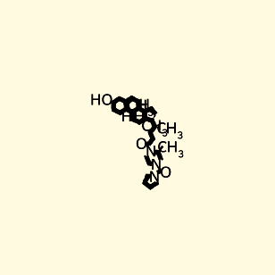 C[C@H](CCC(=O)N1CCN(C(=O)N2CCCC2)C[C@@H]1C)[C@H]1CC[C@H]2[C@@H]3CC=C4C[C@@H](O)CC[C@]4(C)[C@H]3CC[C@]12C